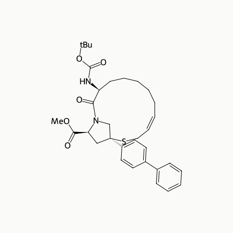 COC(=O)[C@@H]1C[C@@]2(c3ccc(-c4ccccc4)cc3)CN1C(=O)[C@@H](NC(=O)OC(C)(C)C)CCCCCC=CCS2